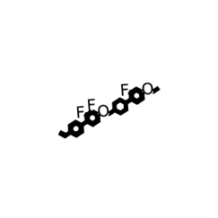 C=Cc1ccc(-c2ccc(OCC3CCC(c4ccc(OCC)cc4F)CC3)c(F)c2F)cc1